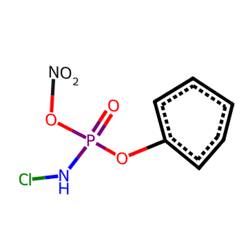 O=[N+]([O-])OP(=O)(NCl)Oc1ccccc1